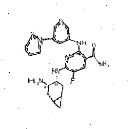 NC(=O)c1cc(F)c(N[C@@H]2CC3CC3C[C@H]2N)nc1Nc1cncc(-n2cccn2)c1